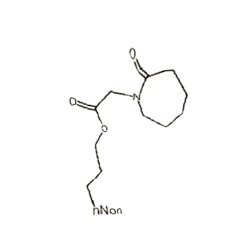 CCCCCCCCCCCCOC(=O)CN1CCCCCC1=O